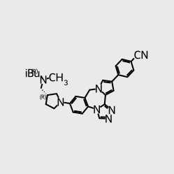 CC[C@@H](C)N(C)C[C@H]1CCN(c2ccc3c(c2)Cn2cc(-c4ccc(C#N)cc4)cc2-c2nncn2-3)C1